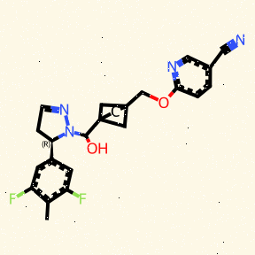 Cc1c(F)cc([C@H]2CC=NN2C(O)C23CC(COc4ccc(C#N)cn4)(C2)C3)cc1F